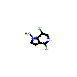 Cn1ccc2c(Cl)ncc(Cl)c21